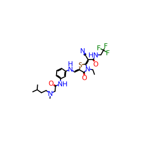 CCn1c(=C(C#N)C(=O)NCC(F)(F)F)sc(=CNc2cccc(NC(=O)CN(C)CCC(C)C)c2)c1=O